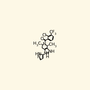 C[C@@H]1CC2=C(NNN2c2ccn[nH]2)[C@H](C)N1C(=O)c1cccc(C(F)(F)F)c1Cl